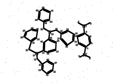 CN(C)c1ccc(N(C)C)cc1.c1ccc(CN(Cc2ccccc2)c2cccc(N(Cc3ccccc3)Cc3ccccc3)c2)cc1